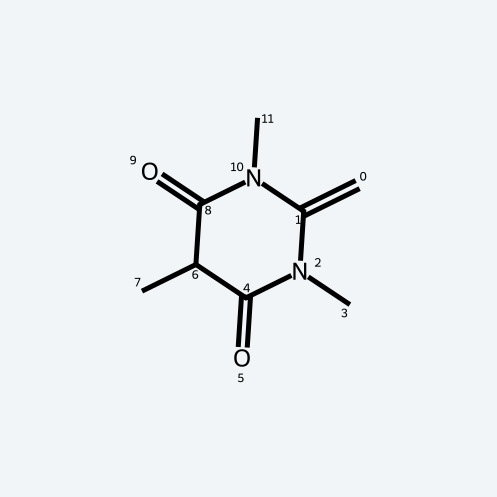 C=C1N(C)C(=O)C(C)C(=O)N1C